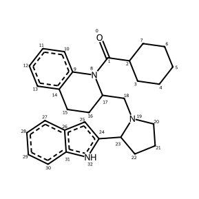 O=C(C1CCCCC1)N1c2ccccc2CCC1CN1CCCC1c1cc2ccccc2[nH]1